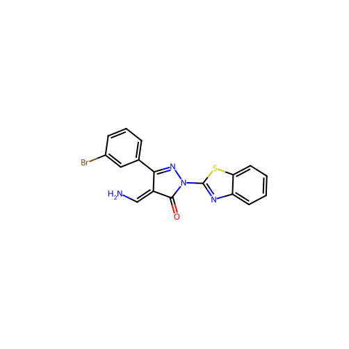 NC=C1C(=O)N(c2nc3ccccc3s2)N=C1c1cccc(Br)c1